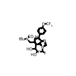 CC(C)(C)N(Cc1cc(-c2ccc(OC(F)(F)F)cc2)c2ncn(C(F)F)c2c1C(O)CO)C(=O)O